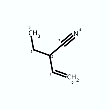 C=CC(C#N)CC